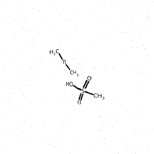 CS(=O)(=O)O.[CH3][Tl][CH3]